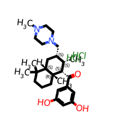 C[C@H]1[C@@H](CN2CCN(C)CC2)C[C@H]2C(C)(C)CCC[C@@]2(C)[C@H]1C(=O)c1cc(O)cc(O)c1.Cl.Cl